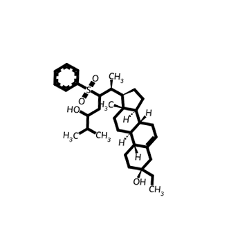 CC[C@]1(O)CC[C@H]2C(=CC[C@@H]3[C@@H]2CC[C@]2(C)[C@@H]([C@H](C)C(CC(O)C(C)C)S(=O)(=O)c4ccccc4)CC[C@@H]32)C1